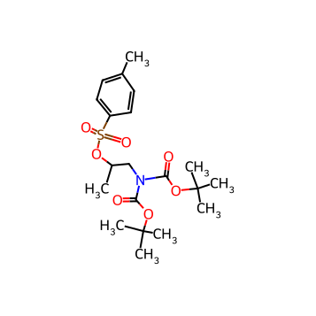 Cc1ccc(S(=O)(=O)OC(C)CN(C(=O)OC(C)(C)C)C(=O)OC(C)(C)C)cc1